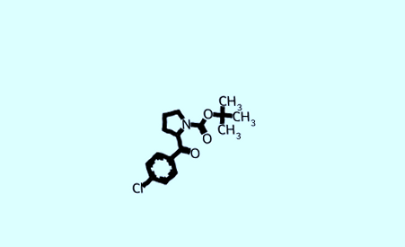 CC(C)(C)OC(=O)N1CCCC1C(=O)c1ccc(Cl)cc1